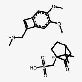 CC1(C)C2CC[C@@]1(CS(=O)(=O)O)C(=O)C2.CNCC1=Cc2cc(OC)c(OC)cc21